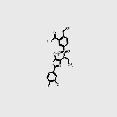 CCc1ccc(S(=O)(=O)N(CC)c2nc(-c3ccc(F)c(Cl)c3)sc2C)cc1C(=O)O